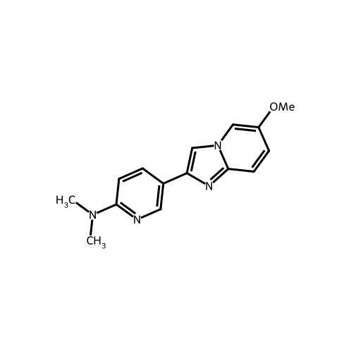 COc1ccc2nc(-c3ccc(N(C)C)nc3)cn2c1